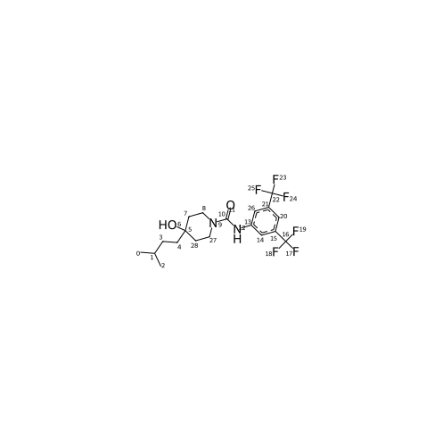 CC(C)CCC1(O)CCN(C(=O)Nc2cc(C(F)(F)F)cc(C(F)(F)F)c2)CC1